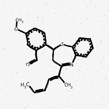 C/C=C\C=C(/C)C1=Nc2ccccc2SC(c2ccc(OC)cc2C=O)C1